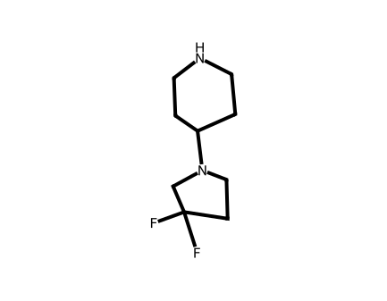 FC1(F)CCN(C2CCNCC2)C1